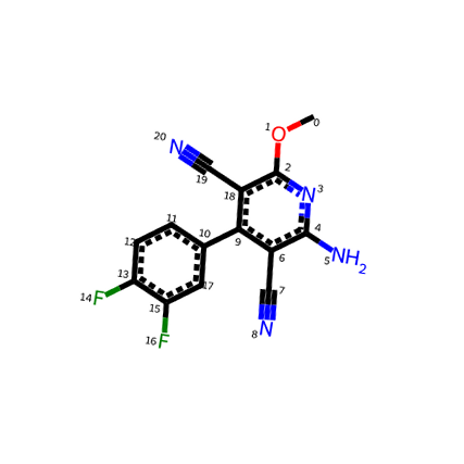 COc1nc(N)c(C#N)c(-c2ccc(F)c(F)c2)c1C#N